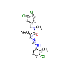 CO/C(=C/N=C/Nc1cccc(Cl)c1C)C(=O)N(C)Cc1ccc(Cl)c(Cl)c1